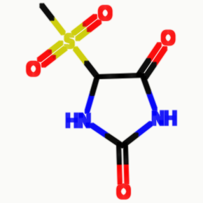 CS(=O)(=O)C1NC(=O)NC1=O